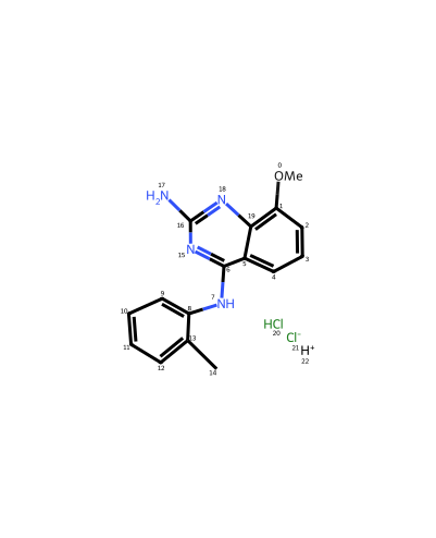 COc1cccc2c(Nc3ccccc3C)nc(N)nc12.Cl.[Cl-].[H+]